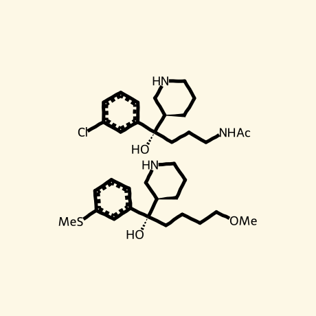 CC(=O)NCCC[C@@](O)(c1cccc(Cl)c1)[C@@H]1CCCNC1.COCCCC[C@@](O)(c1cccc(SC)c1)[C@@H]1CCCNC1